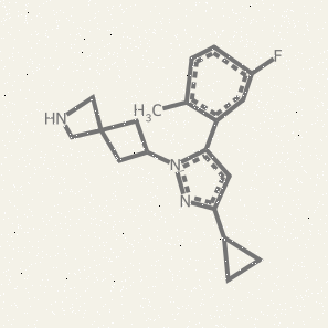 Cc1ccc(F)cc1-c1cc(C2CC2)nn1C1CC2(CNC2)C1